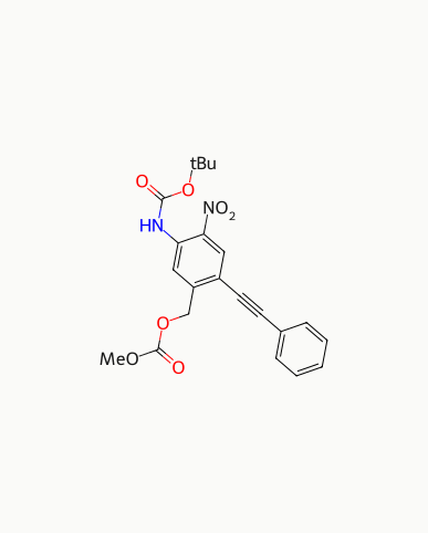 COC(=O)OCc1cc(NC(=O)OC(C)(C)C)c([N+](=O)[O-])cc1C#Cc1ccccc1